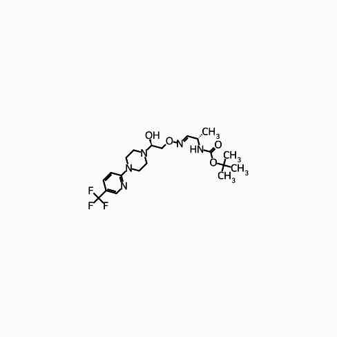 C[C@@H](/C=N/OC[C@H](O)N1CCN(c2ccc(C(F)(F)F)cn2)CC1)NC(=O)OC(C)(C)C